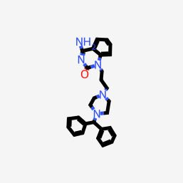 Nc1nc(=O)n(CCCN2CCN(C(c3ccccc3)c3ccccc3)CC2)c2ccccc12